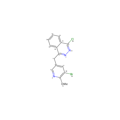 COc1ncc(Cc2nnc(Cl)c3ccccc23)cc1Br